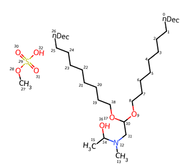 CCCCCCCCCCCCCCCCCCOC(CN(C)C(C)O)OCCCCCCCCCCCCCCCCCC.COS(=O)(=O)O